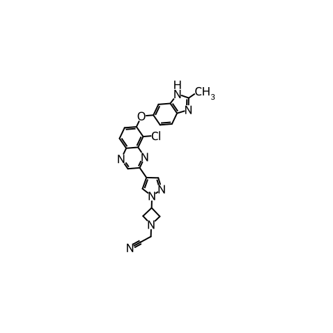 Cc1nc2ccc(Oc3ccc4ncc(-c5cnn(C6CN(CC#N)C6)c5)nc4c3Cl)cc2[nH]1